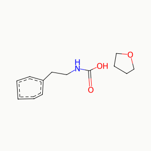 C1CCOC1.O=C(O)NCCc1ccccc1